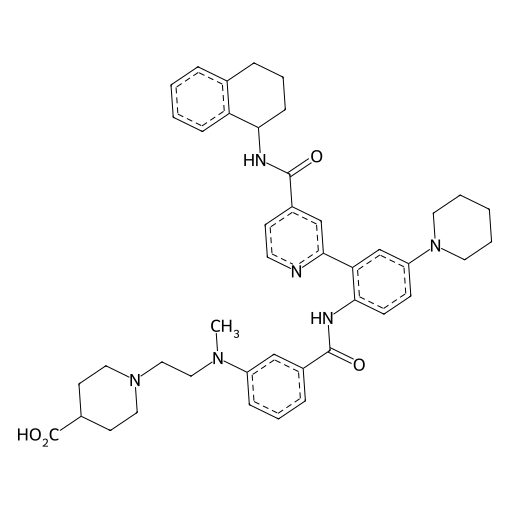 CN(CCN1CCC(C(=O)O)CC1)c1cccc(C(=O)Nc2ccc(N3CCCCC3)cc2-c2cc(C(=O)NC3CCCc4ccccc43)ccn2)c1